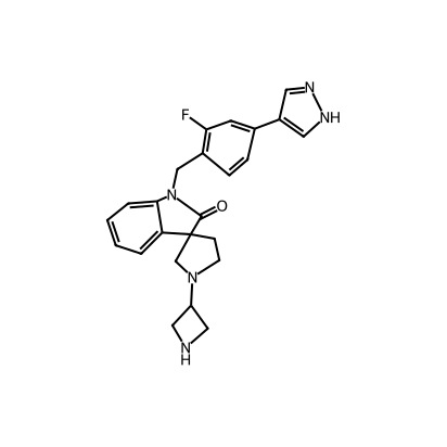 O=C1N(Cc2ccc(-c3cn[nH]c3)cc2F)c2ccccc2C12CCN(C1CNC1)C2